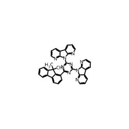 CC1(C)c2ccccc2-c2cccc(-c3nc(-n4c5ncccc5c5cccnc54)nc(-n4c5ncccc5c5cccnc54)n3)c21